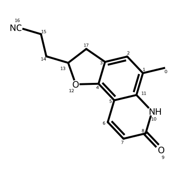 Cc1cc2c(c3ccc(=O)[nH]c13)OC(CCC#N)C2